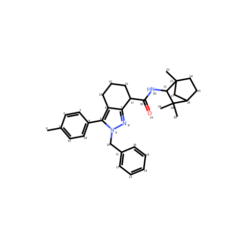 Cc1ccc(-c2c3c(nn2Cc2ccccc2)C(C(=O)NC2C4(C)CCC(C4)C2(C)C)CCC3)cc1